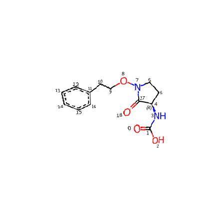 O=C(O)N[C@@H]1CCN(OCCc2ccccc2)C1=O